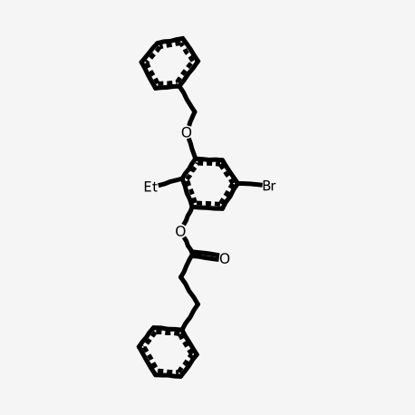 CCc1c(OCc2ccccc2)cc(Br)cc1OC(=O)CCc1ccccc1